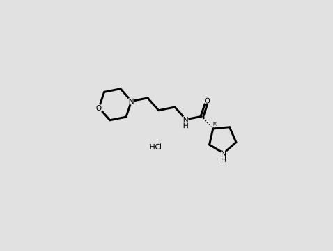 Cl.O=C(NCCCN1CCOCC1)[C@@H]1CCNC1